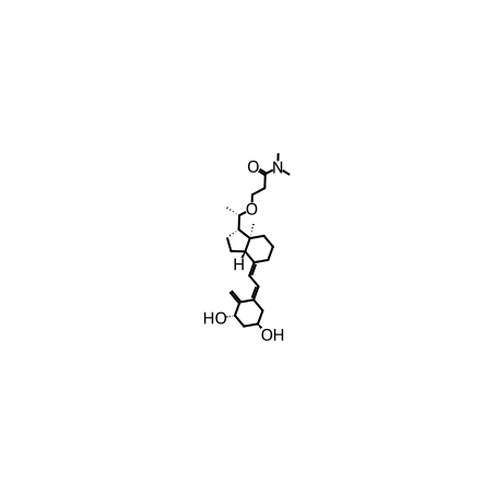 C=C1C(=CC=C2CCC[C@]3(C)[C@@H]([C@H](C)OCCC(=O)N(C)C)CC[C@@H]23)C[C@@H](O)C[C@@H]1O